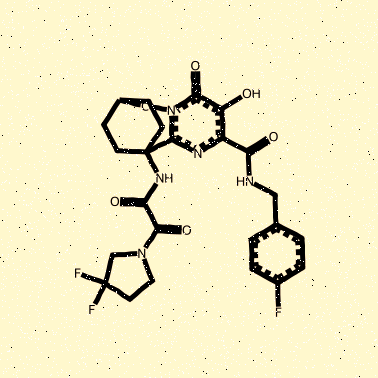 O=C(NC12CCC(CC1)Cn1c2nc(C(=O)NCc2ccc(F)cc2)c(O)c1=O)C(=O)N1CCC(F)(F)C1